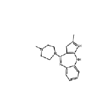 CC1=[SH]C2=C(C1)C(N1CCN(C)CC1)=Nc1ccccc1N2